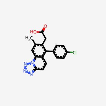 Cc1cc2c(ccc3nnnn32)c(-c2ccc(Cl)cc2)c1CC(=O)O